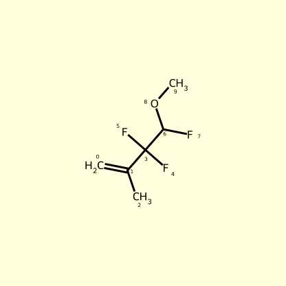 C=C(C)C(F)(F)C(F)OC